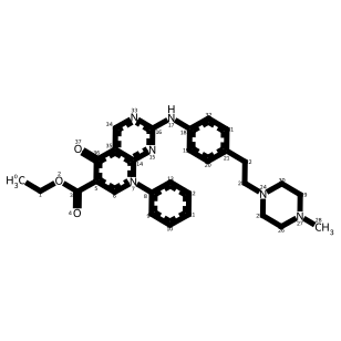 CCOC(=O)c1cn(-c2ccccc2)c2nc(Nc3ccc(CCN4CCN(C)CC4)cc3)ncc2c1=O